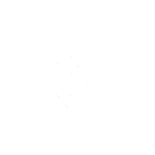 C=CC(N(C(CCCNC(=N)N)C(=O)O)C(C=C)P(=O)(O)O)P(=O)(O)O